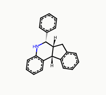 c1ccc([C@H]2Nc3ccccc3[C@H]3c4ccccc4C[C@H]32)cc1